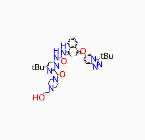 CC(C)(C)c1cc(NC(=O)N[C@H]2CC[C@@H](Oc3ccc4nnc(C(C)(C)C)n4c3)c3ccccc32)nc(C(=O)N2CCN(CCO)CC2)n1